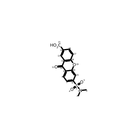 CN(C)S(=O)(=O)c1ccc2c(=O)c3cc(C(=O)O)ccc3oc2c1